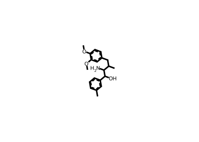 COc1ccc(CC(C)C(N)C(O)c2cccc(C)c2)cc1OC